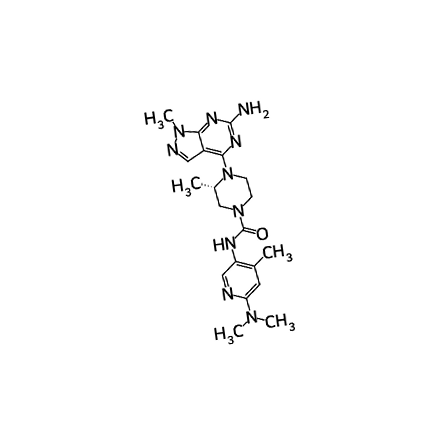 Cc1cc(N(C)C)ncc1NC(=O)N1CCN(c2nc(N)nc3c2cnn3C)[C@@H](C)C1